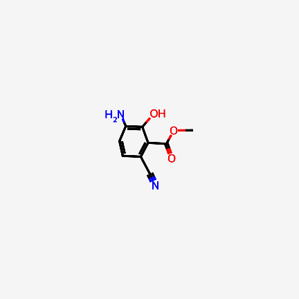 COC(=O)c1c(C#N)ccc(N)c1O